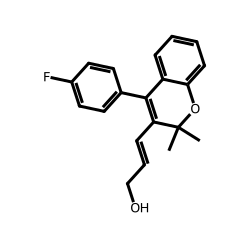 CC1(C)Oc2ccccc2C(c2ccc(F)cc2)=C1/C=C/CO